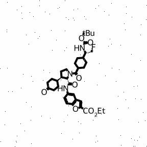 CCOC(=O)c1cc2cc(NC(=O)[C@@H]3[C@@H](C4CCC(=O)CC4)CCN3C(=O)C3CCC([C@@H](CF)NC(=O)OC(C)(C)C)CC3)ccc2o1